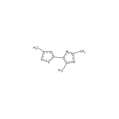 Cc1csc(-c2nc(C)oc2C)c1